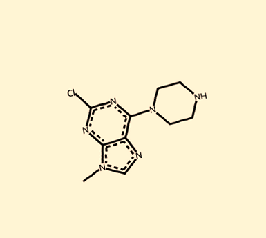 Cn1cnc2c(N3CCNCC3)nc(Cl)nc21